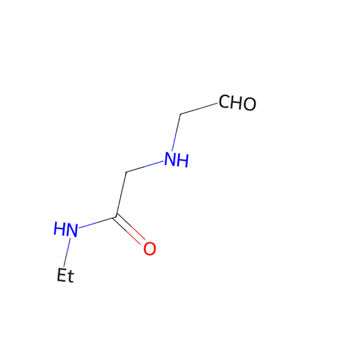 CCNC(=O)CNCC=O